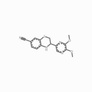 COc1ncc(C2CSc3cc(C#N)ccc3N2)nc1OC